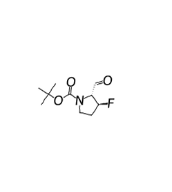 CC(C)(C)OC(=O)N1CC[C@H](F)[C@H]1C=O